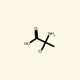 CC(N)(Cl)C(=O)O